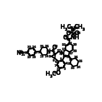 COc1ccc2c(c1)C1CC1(C(=O)N1CCC(c3ccc(C#N)cc3)CC1)CN1C2=C(C2CCCCC2)C2C=CC(C(=O)NS(=O)(=O)N(C)C)=CC21